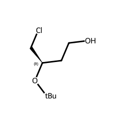 CC(C)(C)O[C@@H](CCl)CCO